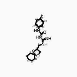 N=C(NCC1COC2(CCCCC2)O1)NC(=O)Nc1ccc(F)cc1